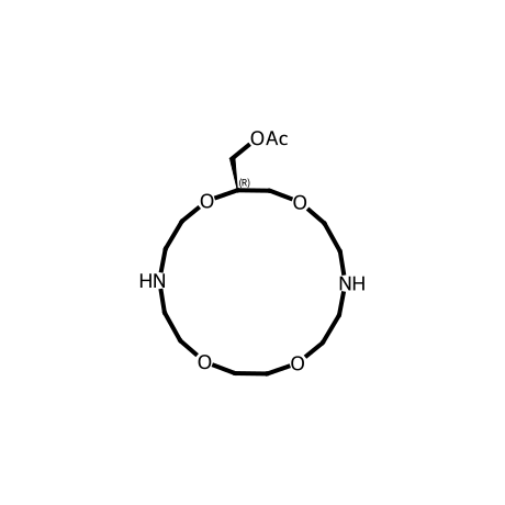 CC(=O)OC[C@H]1COCCNCCOCCOCCNCCO1